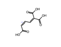 O=C(O)/C=C\C=C(C(=O)O)C(=O)O